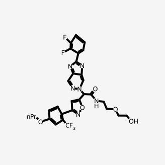 CCCOc1ccc(-c2cc(C(C(=O)NCCOCCO)n3cc4nc(-c5cccc(F)c5F)nc-4cn3)on2)c(C(F)(F)F)c1